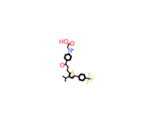 CC(C)c1cc(-c2ccc(C(F)(F)F)cc2)sc1CCC(=O)c1ccc(N(C)CC(=O)O)cc1